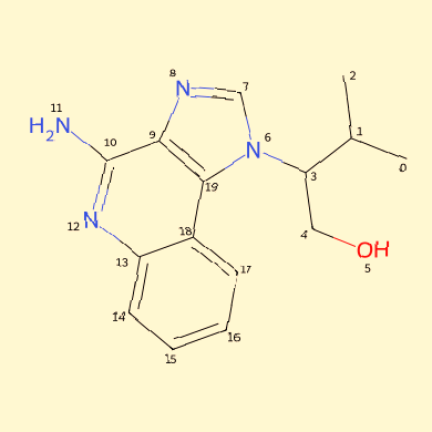 CC(C)C(CO)n1cnc2c(N)nc3ccccc3c21